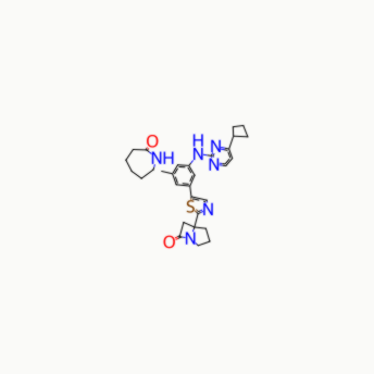 Cc1cc(Nc2nccc(C3CCC3)n2)cc(-c2cnc(C34CCCN3C(=O)C4)s2)c1.O=C1CCCCCN1